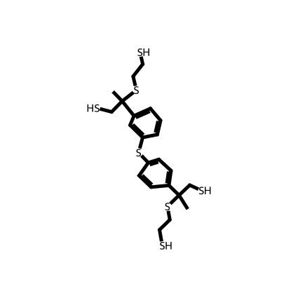 CC(CS)(SCCS)c1ccc(Sc2cccc(C(C)(CS)SCCS)c2)cc1